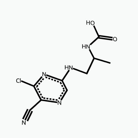 CC(CNc1cnc(C#N)c(Cl)n1)NC(=O)O